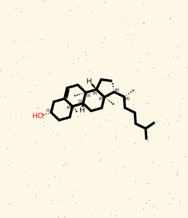 CC(C)CCC[C@@H](C)[C@H]1CC[C@@H]2[C@]1(C)CC[C@H]1[C@@]2(C)CC=C2C[C@@H](O)CC[C@@]21C